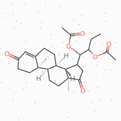 CCC(OC(C)=O)C(OC(C)=O)C1CC(=O)[C@@]2(C)CC[C@@H]3[C@@H](CCC4=CC(=O)CC[C@@]43C)[C@H]12